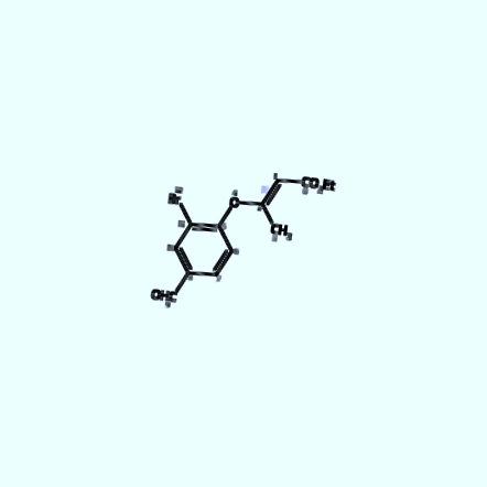 CCOC(=O)/C=C(\C)Oc1ccc(C=O)cc1Br